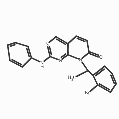 CC(c1ccccc1Br)n1c(=O)ccc2cnc(Nc3ccccc3)nc21